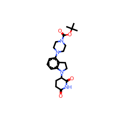 CC(C)(C)OC(=O)N1CCN(c2cccc3c2CCN3C2CCC(=O)NC2=O)CC1